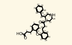 O=C(O)CCc1ccccc1Oc1ccccc1CCC(=O)N1CCNCC1Cc1ccccc1